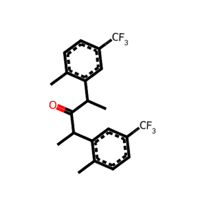 Cc1ccc(C(F)(F)F)cc1C(C)C(=O)C(C)c1cc(C(F)(F)F)ccc1C